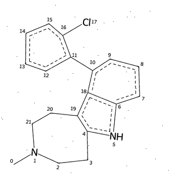 CN1CCc2[nH]c3cccc(-c4ccccc4Cl)c3c2CC1